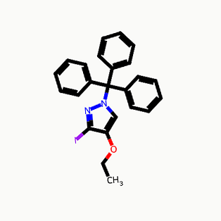 CCOc1cn(C(c2ccccc2)(c2ccccc2)c2ccccc2)nc1I